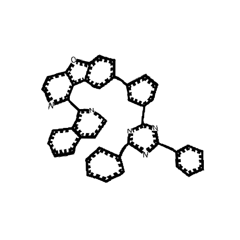 c1ccc(-c2nc(-c3ccccc3)nc(-c3cccc(-c4ccc5oc6ccnc(-c7nccc8ccccc78)c6c5c4)c3)n2)cc1